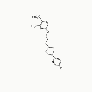 CCOC(=O)c1ccc(OCCCC2CCN(c3ncc(Cl)cn3)CC2)nc1C